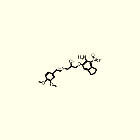 COc1ccc(CCNCC(O)COc2cc3c(c([N+](=O)[O-])c2N)CCC3)cc1OC